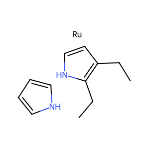 CCc1cc[nH]c1CC.[Ru].c1cc[nH]c1